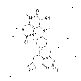 Cc1cc(F)ccc1N(CC1CCC1)C1CCC(N(C)c2c(C#N)c(=O)n(C)c3ccc(Cl)nc23)CC1